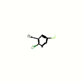 C[CH]c1cc(F)ccc1Cl